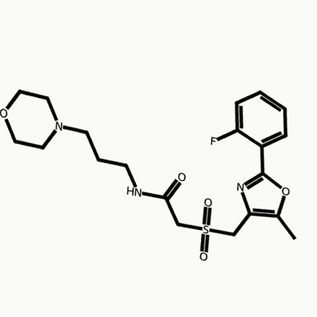 Cc1oc(-c2ccccc2F)nc1CS(=O)(=O)CC(=O)NCCCN1CCOCC1